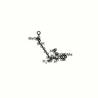 COc1cccc2c1C(=O)c1c(O)c3c(c(O)c1C2=O)CC(C(=O)NNC(=O)CNC(=O)[C@H](CC(N)=O)NC(=O)CCOCCOCCOCCOCCNC(=O)c1ccc2nc(CSC4CCCCCCC4)c(CSC)nc2c1)C[C@@H]3O[C@H]1CC[C@H](O[C@@H]2COCCN2)CO1